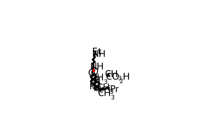 CC(=O)O.CCNCCCCCNCC(=O)O[C@H]1CC[C@@]2(C)C(=CC[C@H]3[C@@H]4CC[C@H]([C@H](C)CCCC(C)C)[C@@]4(C)CC[C@@H]32)C1